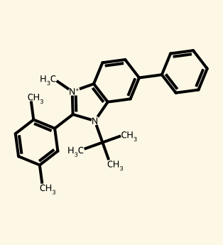 Cc1ccc(C)c(-c2n(C(C)(C)C)c3cc(-c4ccccc4)ccc3[n+]2C)c1